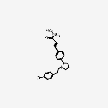 O=C(C=Cc1ccc(C2CCCN2CCc2ccc(Cl)cc2)cc1)NO